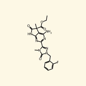 CCOC(=O)C1(C)C(=O)Nc2nc(-c3nn(Cc4ccccc4F)c(=O)n3C)nc(N)c21